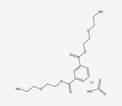 O=C(OCCOCCO)c1cccc(C(=O)OCCOCCO)c1.O=[S-](=O)O.[Li+]